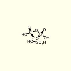 O=S(=O)(O)O.[O]=[Cr](=[O])([OH])[O][Cr](=[O])(=[O])[OH]